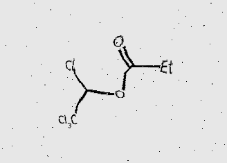 CCC(=O)OC(Cl)C(Cl)(Cl)Cl